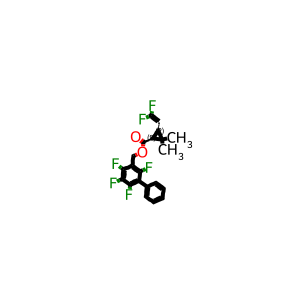 CC1(C)[C@@H](C=C(F)F)[C@@H]1C(=O)OCc1c(F)c(F)c(F)c(-c2ccccc2)c1F